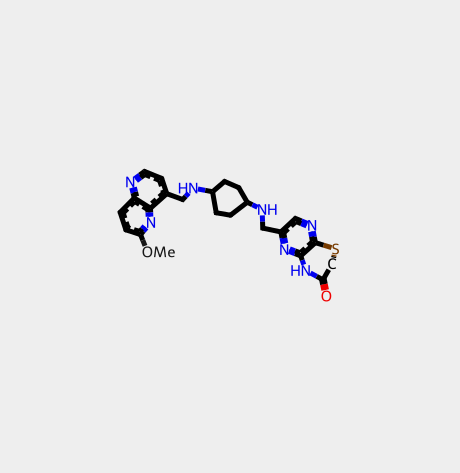 COc1ccc2nccc(CNC3CCC(NCc4cnc5c(n4)NC(=O)CS5)CC3)c2n1